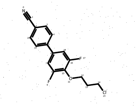 N#Cc1ccc(-c2cc(F)c(OCCCCl)c(F)c2)cc1